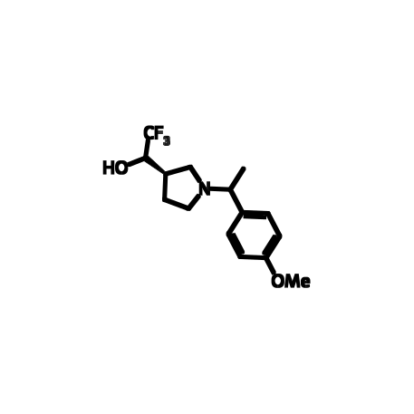 COc1ccc(C(C)N2CC[C@@H](C(O)C(F)(F)F)C2)cc1